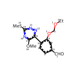 CCOCOc1cc(C=O)ccc1-c1nnc(SC)nc1OC